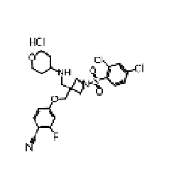 Cl.N#Cc1ccc(OCC2(CNC3CCOCC3)CN(S(=O)(=O)c3ccc(Cl)cc3Cl)C2)cc1F